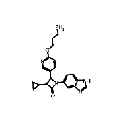 O=C1C(C2CC2)C(c2ccc(OCCCP)nc2)N1c1ccc2[nH]cnc2c1